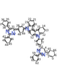 C1=CC(c2cc(-c3ccc(-n4c5ccccc5c5c6c7ccccc7n(-c7ccc(-c8cc(-c9ccccc9)nc(-c9ccccc9)n8)cc7)c6ccc54)cc3)nc(-c3ccccc3)n2)=CCC1